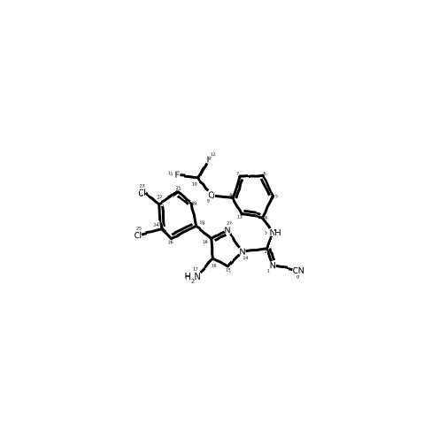 N#C/N=C(\Nc1cccc(OC(F)F)c1)N1CC(N)C(c2ccc(Cl)c(Cl)c2)=N1